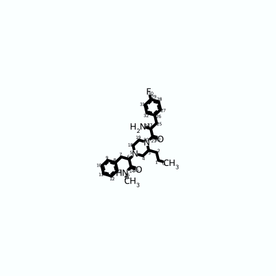 CCCC1CN(C(Cc2ccccc2)C(=O)NC)CCN1C(=O)C(N)Cc1ccc(F)cc1